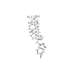 CC12CC[C@@](C)(O)C[C@@H]1CC[C@@H]1[C@@H]2CCC2(C)[C@@H](C(=O)Cn3nnc4cc(F)ccc43)CC[C@@H]12